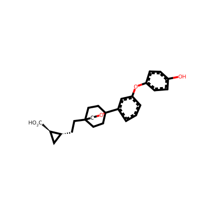 O=C(O)[C@@H]1C[C@H]1CCC12CCC(c3cccc(Oc4ccc(O)cc4)c3)(CC1)OC2